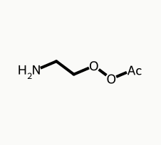 CC(=O)OOCCN